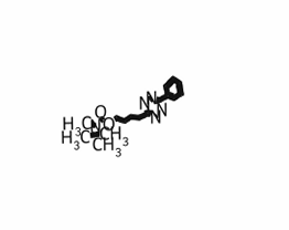 CN(C(=O)OCCCCc1nnc(-c2ccccc2)nn1)C(C)(C)C